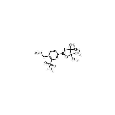 COCc1ccc(B2OC(C)(C)C(C)(C)O2)cc1S(C)(=O)=O